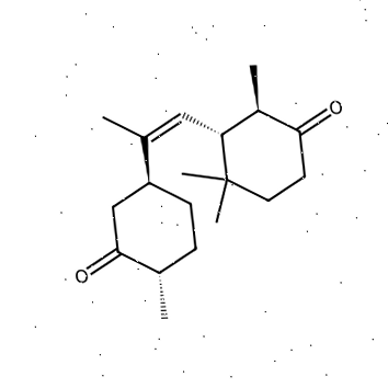 C/C(=C/[C@@H]1[C@@H](C)C(=O)CCC1(C)C)[C@H]1CC[C@H](C)C(=O)C1